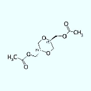 CC(=O)OC[C@@H]1CO[C@@H](COC(C)=O)CO1